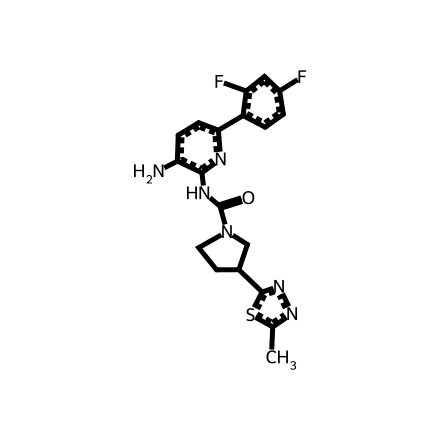 Cc1nnc(C2CCN(C(=O)Nc3nc(-c4ccc(F)cc4F)ccc3N)C2)s1